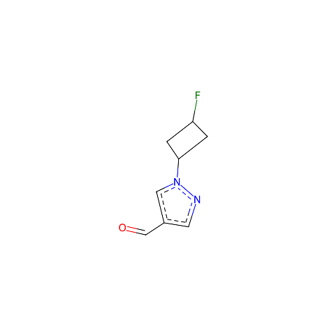 O=Cc1cnn(C2CC(F)C2)c1